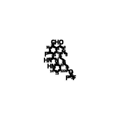 CN(/C=C\c1cc(C(=N)/N=c2/cccc[nH]2)c(F)cc1C=O)CCCCCCOC(F)F